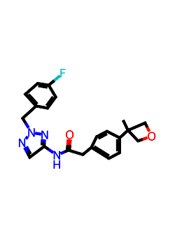 CC1(c2ccc(CC(=O)Nc3cnn(Cc4ccc(F)cc4)n3)cc2)COC1